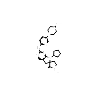 CN1CCN(c2ccc(Nc3ncc4c(n3)N(C3CCCC3)C3(CCN(C)C3=O)C4)nc2)CC1